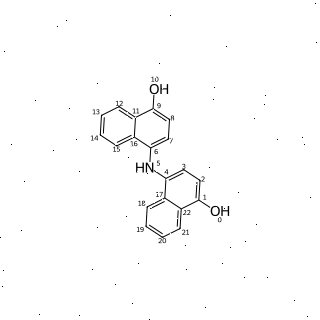 Oc1ccc(Nc2ccc(O)c3ccccc23)c2ccccc12